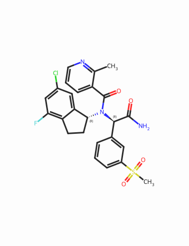 Cc1ncccc1C(=O)N([C@@H]1CCc2c(F)cc(Cl)cc21)[C@@H](C(N)=O)c1cccc(S(C)(=O)=O)c1